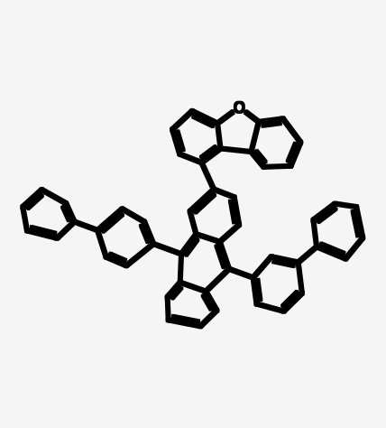 c1ccc(-c2ccc(-c3c4ccccc4c(-c4cccc(-c5ccccc5)c4)c4ccc(-c5cccc6oc7ccccc7c56)cc34)cc2)cc1